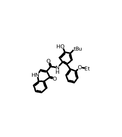 CCOc1ccccc1-c1cc(C(C)(C)C)c(O)cc1NC(=O)c1c[nH]c2ccccc2c1=O